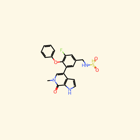 Cn1cc(-c2cc(CN[SH](=O)=O)cc(F)c2Oc2ccccc2)c2cc[nH]c2c1=O